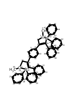 C[O+]1CC(c2ccc(C3=C(c4ccccc4)[B-](c4ccccc4)(c4ccccc4)[O+](C)C3)cc2)=C(c2ccccc2)[B-]1(c1ccccc1)c1ccccc1